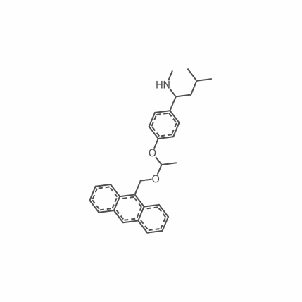 CNC(CC(C)C)c1ccc(OC(C)OCc2c3ccccc3cc3ccccc23)cc1